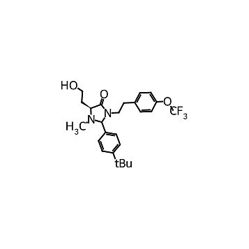 CN1C(c2ccc(C(C)(C)C)cc2)N(CCc2ccc(OC(F)(F)F)cc2)C(=O)[C@@H]1CCO